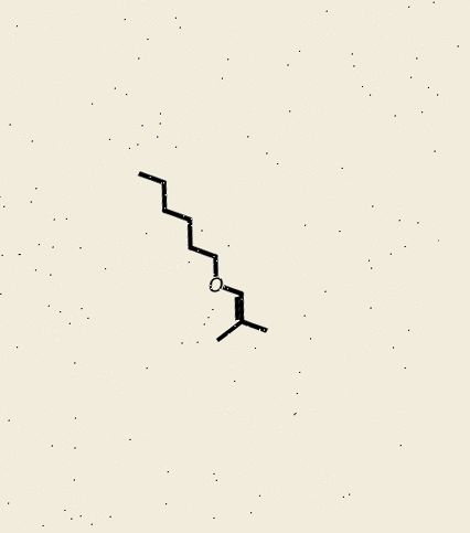 CCCCCCOC=C(C)C